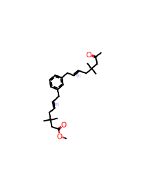 COC(=O)CC(C)(C)C/C=C/Cc1cccc(C/C=C/CC(C)(C)CC(C)=O)c1